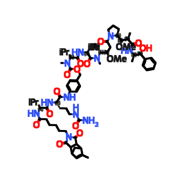 CC[C@H](C)[C@@H]([C@@H](CC(=O)N1CCC[C@H]1[C@H](OC)[C@@H](C)C(=O)N[C@H](C)[C@H](O)c1ccccc1)OC)N(C)C(=O)[C@@H](NC(=O)[C@H](C(C)C)N(C)C(=O)OCc1ccc(NC(=O)[C@H](CCCNC(N)=O)NC(=O)[C@@H](NC(=O)CCCCCN2C(=O)C3C4C=C(C)C(C4)C3C2=O)C(C)C)cc1)C(C)C